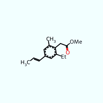 CC=Cc1cc(C)c(CC(=O)OC)c(CC)c1